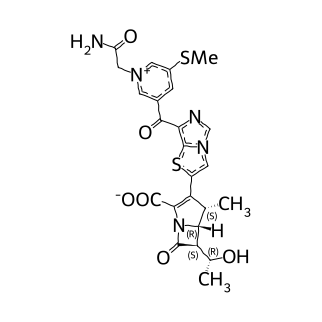 CSc1cc(C(=O)c2ncn3cc(C4=C(C(=O)[O-])N5C(=O)[C@H]([C@@H](C)O)[C@H]5[C@H]4C)sc23)c[n+](CC(N)=O)c1